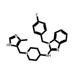 Cc1nc[nH]c1CN1CCC(Nc2nc3ccccc3n2Cc2ccc(F)cc2)CC1